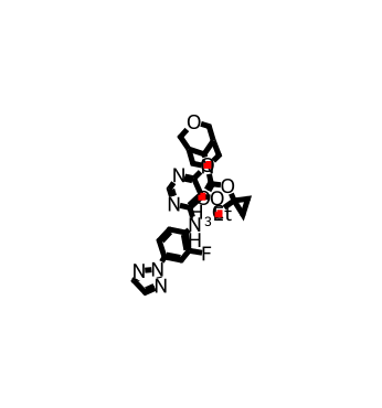 CCOc1c(Nc2ccc(-n3nccn3)cc2F)ncnc1OC1C2COCC1CN(C(=O)OC1(C)CC1)C2